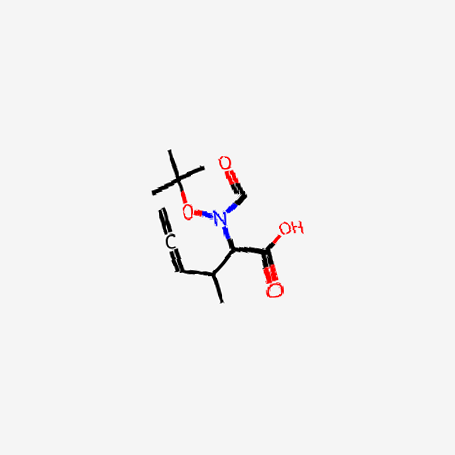 C=C=CC(C)C(C(=O)O)N(C=O)OC(C)(C)C